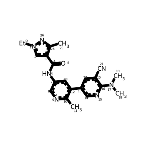 CCn1cc(C(=O)Nc2cnc(C)c(-c3cnc(N(C)C)c(C#N)c3)c2)c(C)n1